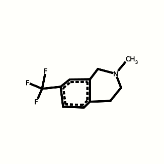 CN1CCc2ccc(C(F)(F)F)cc2C1